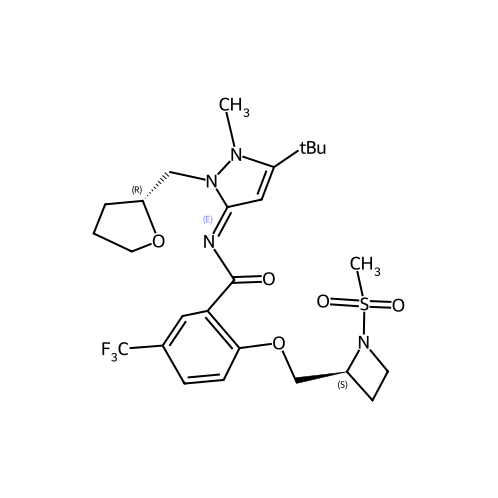 Cn1c(C(C)(C)C)c/c(=N\C(=O)c2cc(C(F)(F)F)ccc2OC[C@@H]2CCN2S(C)(=O)=O)n1C[C@H]1CCCO1